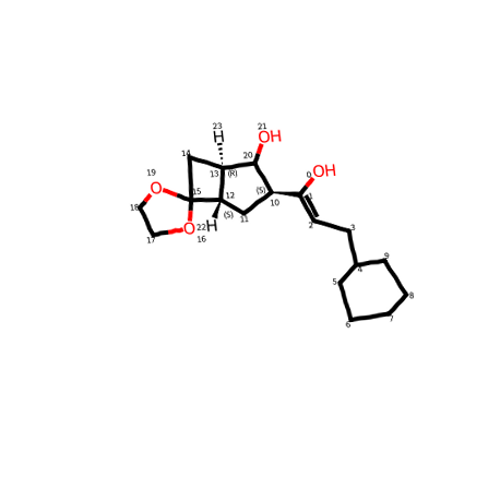 OC(=CCC1CCCCC1)[C@H]1C[C@H]2[C@@H](CC23OCCO3)C1O